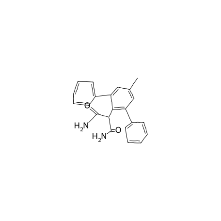 Cc1cc(-c2ccccc2)c(C(C(N)=O)C(N)=O)c(-c2ccccc2)c1